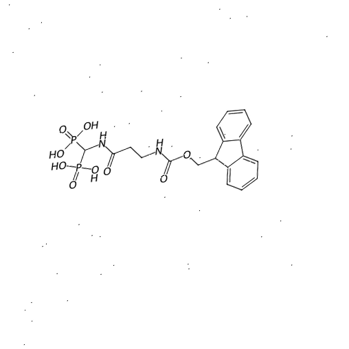 O=C(CCNC(=O)OCC1c2ccccc2-c2ccccc21)NC(P(=O)(O)O)P(=O)(O)O